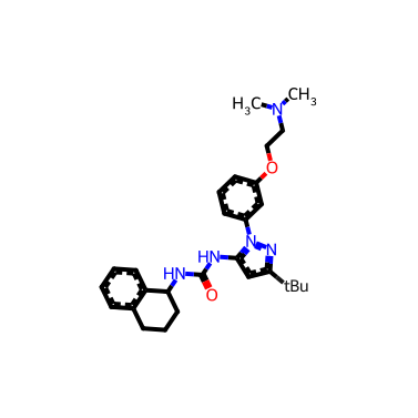 CN(C)CCOc1cccc(-n2nc(C(C)(C)C)cc2NC(=O)NC2CCCc3ccccc32)c1